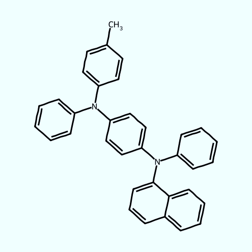 Cc1ccc(N(c2ccccc2)c2ccc(N(c3ccccc3)c3cccc4ccccc34)cc2)cc1